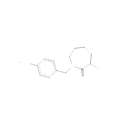 COc1ccc(CN2CCCCC(C(=O)O)C2=O)cc1